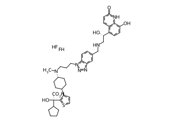 CN(CCCn1nnc2cc(CNC[C@H](O)c3ccc(O)c4[nH]c(=O)ccc34)ccc21)[C@H]1CC[C@H](c2ccsc2[C@@](O)(C(=O)O)C2CCCC2)CC1.F.F